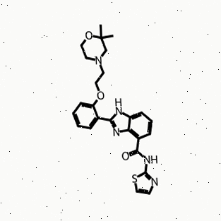 CC1(C)CN(CCOc2ccccc2-c2nc3c(C(=O)Nc4nccs4)cccc3[nH]2)CCO1